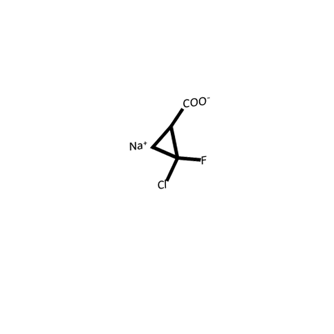 O=C([O-])C1CC1(F)Cl.[Na+]